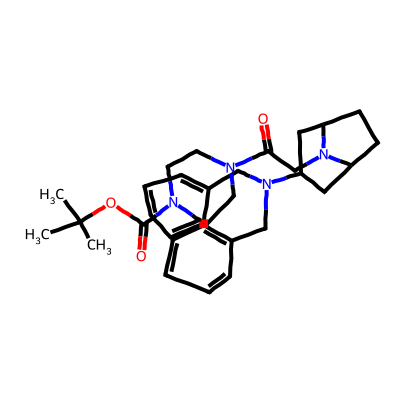 CC(C)(C)OC(=O)N1CCN(C(=O)CN2C3CCC2CC(N(Cc2ccccc2)Cc2ccccc2)C3)CC1